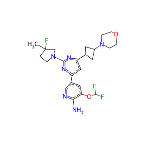 CC1(F)CCN(c2nc(-c3cnc(N)c(OC(F)F)c3)cc(C3CC(N4CCOCC4)C3)n2)C1